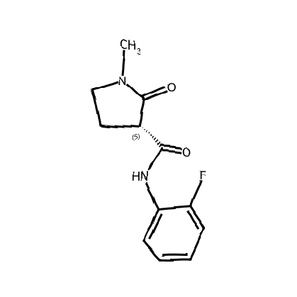 CN1CC[C@@H](C(=O)Nc2ccccc2F)C1=O